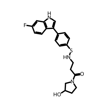 O=C(CCNSc1ccc(-c2c[nH]c3cc(F)ccc23)cc1)N1CCC(O)C1